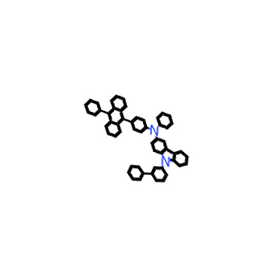 c1ccc(-c2cccc(-n3c4ccccc4c4cc(N(c5ccccc5)c5ccc(-c6c7ccccc7c(-c7ccccc7)c7ccccc67)cc5)ccc43)c2)cc1